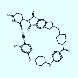 N#Cc1ccc(O[C@H]2CC[C@H](Nc3ccc(C(=O)N4CCC(CN5Cc6cc7c(cc6C5)C(=O)N(C5CCC(=O)NC5=O)C7=O)CC4)cc3)CC2)cc1Cl